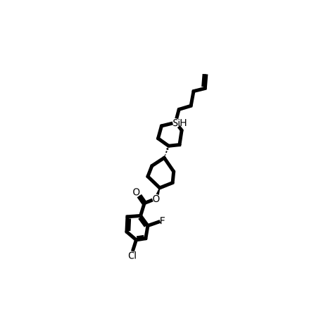 C=CCCC[SiH]1CCC([C@H]2CC[C@H](OC(=O)c3ccc(Cl)cc3F)CC2)CC1